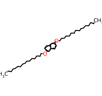 CCCCCCCCCCCCCCCCOc1ccc2cc(OCCCCCCCCCCCCCCCC)ccc2c1